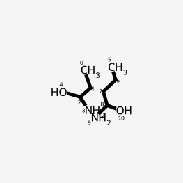 CCC(N)O.CCCC(N)O